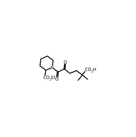 CCOC(=O)C1CCCCN1C(=O)C(=O)CCC(C)(C)C(=O)O